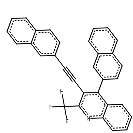 FC(F)(F)c1nc2ccccc2c(-c2ccc3ccccc3c2)c1C#Cc1ccc2ccccc2c1